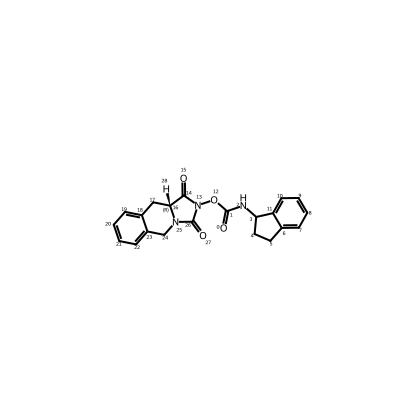 O=C(NC1CCc2ccccc21)ON1C(=O)[C@H]2Cc3ccccc3CN2C1=O